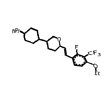 CCCC1CCC(C2CCC(/C=C/c3ccc(OCC)c(C(F)(F)F)c3F)OC2)CC1